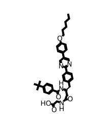 CCCCCCOc1ccc(-c2cnc(-c3ccc(C[C@H](NC(=O)c4ccc(C(C)(C)C)cc4)C4OC4NCC(=O)O)cc3)nc2)cc1